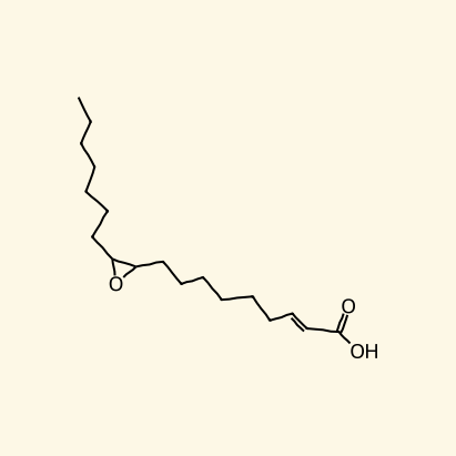 CCCCCCCC1OC1CCCCCCC=CC(=O)O